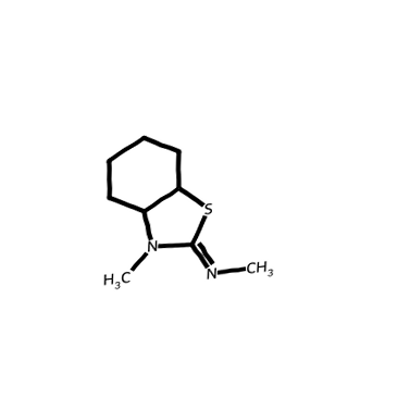 C/N=C1\SC2CCCCC2N1C